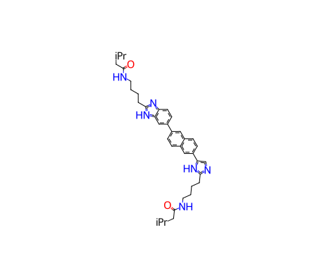 CC(C)CC(=O)NCCCCc1ncc(-c2ccc3cc(-c4ccc5nc(CCCCNC(=O)CC(C)C)[nH]c5c4)ccc3c2)[nH]1